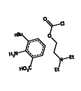 CCCCc1cccc(C(=O)O)c1N.CCN(CC)CCOC(=O)Cl